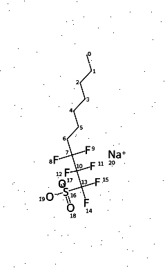 CCCCCCCC(F)(F)C(F)(F)C(F)(F)S(=O)(=O)[O-].[Na+]